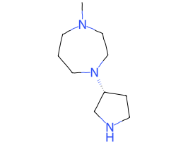 CN1CCCN([C@@H]2CCNC2)CC1